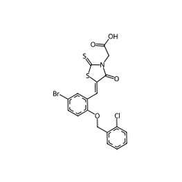 O=C(O)CN1C(=O)C(=Cc2cc(Br)ccc2OCc2ccccc2Cl)SC1=S